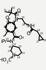 Cc1cc2c(cc1C(=O)N(C(C)C)[C@@H]1CCCN(C(=O)O)C1)N(CCNC(=O)CC1CC1)C(=O)C(C)(C)O2